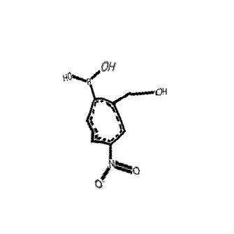 O=[N+]([O-])c1ccc(B(O)O)c(CO)c1